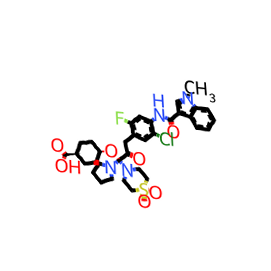 Cn1cc(C(=O)Nc2cc(F)c(CC(=O)C(O[C@H]3CC[C@H](C(=O)O)CC3)(N3CCCC3)N3CCS(=O)(=O)CC3)cc2Cl)c2ccccc21